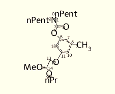 CCCCCN(CCCCC)C(=O)Oc1cc(C)cc(OCC(OC)OCCC)c1